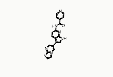 O=C(Nc1ccc2c(-c3cnc4nccn4c3)c[nH]c2n1)c1ccncc1